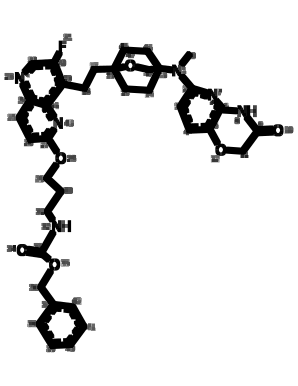 CN(c1ccc2c(n1)NC(=O)CO2)C12CCC(CCc3c(F)cnc4ccc(OCCCNC(=O)OCc5ccccc5)nc34)(CC1)OC2